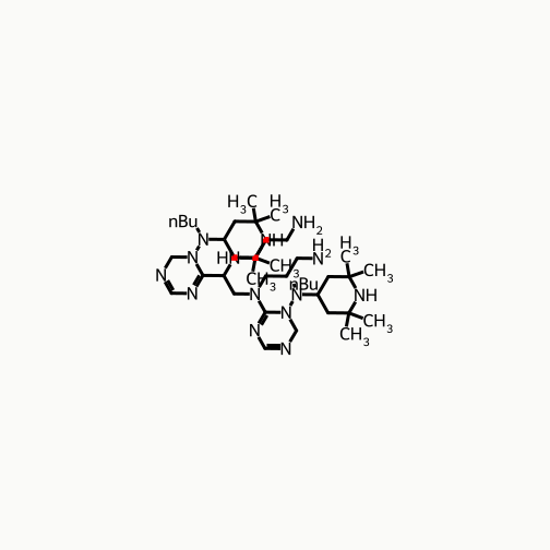 CCCCN(C1CC(C)(C)NC(C)(C)C1)N1CN=CN=C1C(CN(CCCN)C1=NC=NCN1N(CCCC)C1CC(C)(C)NC(C)(C)C1)NCCCN